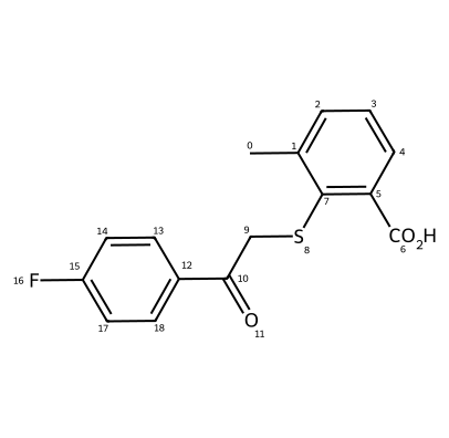 Cc1cccc(C(=O)O)c1SCC(=O)c1ccc(F)cc1